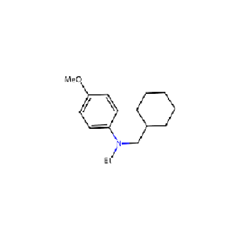 CCN(CC1CCCCC1)c1ccc(OC)cc1